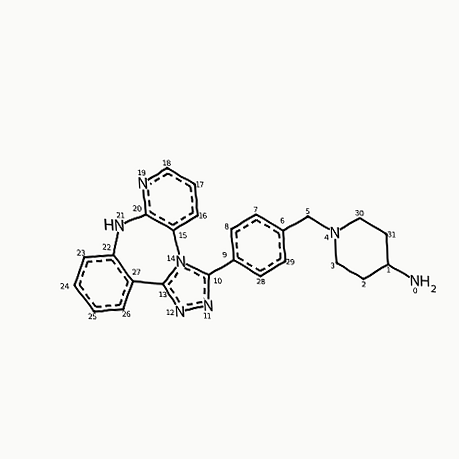 NC1CCN(Cc2ccc(-c3nnc4n3-c3cccnc3Nc3ccccc3-4)cc2)CC1